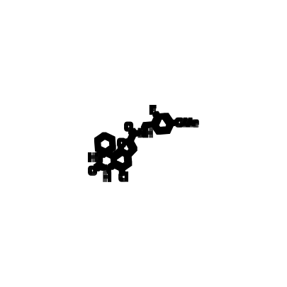 COc1ccc(CNC(=O)c2cc3cc(Cl)c4c(c3o2)C2(CCCCC2)NC(=O)N4)c(F)c1